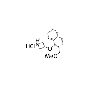 COCc1ccc2ccccc2c1OC1CNC1.Cl